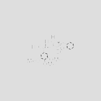 CCOP(=O)(Cc1ccccc1)CC(O)CNC(C)c1cc(OC)c(OC)c(OC)c1